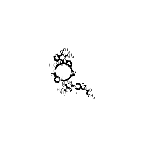 C=CC(=O)N1COC2(CCN(C(=O)N(C)[C@H](C(=O)N[C@H]3Cc4coc(n4)-c4ccc5c(c4)c(c(-c4cccnc4[C@H](C)OC)n5CC)CC(C)(C)COC(=O)[C@@H]4CCCN(N4)C3=O)C(C)C)CC2)C1